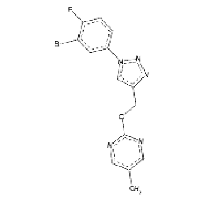 Cc1cnc(OCc2cn(-c3ccc(F)c(Br)c3)nn2)nc1